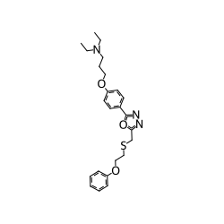 CCN(CC)CCCOc1ccc(-c2nnc(CSCCOc3ccccc3)o2)cc1